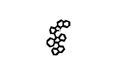 C1=CCc2c(c(-c3cccc4c3oc3c5ccccc5ccc43)c3ccccc3c2-c2cccc3ccccc23)C=C1